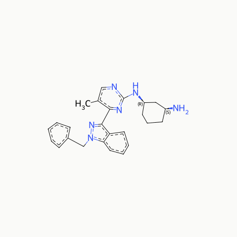 Cc1cnc(N[C@@H]2CCC[C@H](N)C2)nc1-c1nn(Cc2ccccc2)c2ccccc12